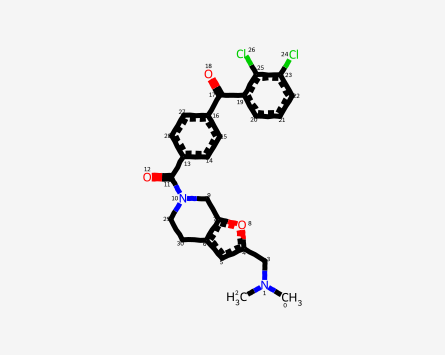 CN(C)Cc1cc2c(o1)CN(C(=O)c1ccc(C(=O)c3cccc(Cl)c3Cl)cc1)CC2